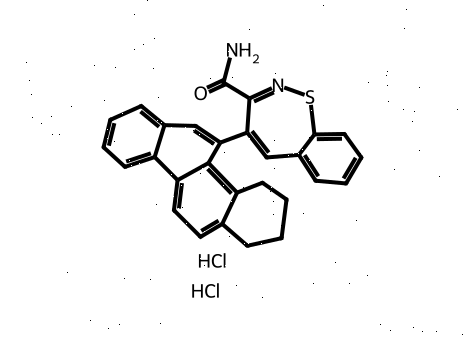 Cl.Cl.NC(=O)C1=NSc2ccccc2C=C1c1cc2ccccc2c2ccc3c(c12)CCCC3